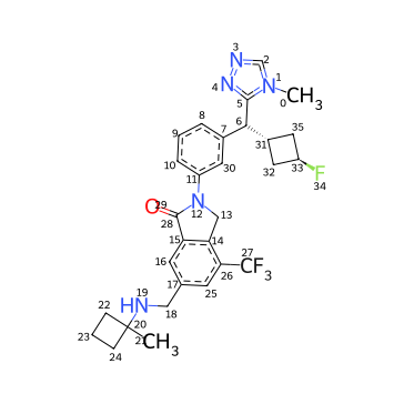 Cn1cnnc1C(c1cccc(N2Cc3c(cc(CNC4(C)CCC4)cc3C(F)(F)F)C2=O)c1)[C@H]1C[C@H](F)C1